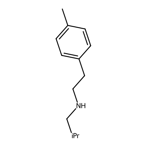 Cc1ccc(CCNCC(C)C)cc1